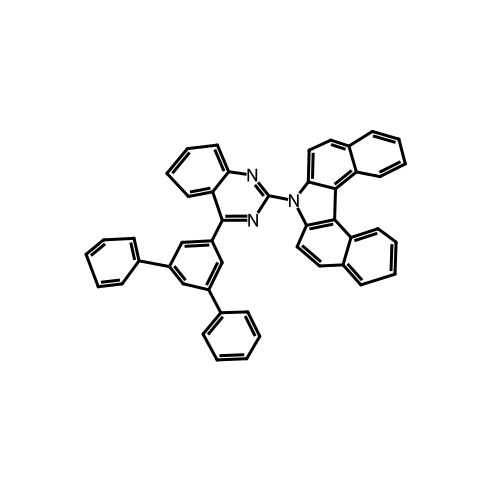 c1ccc(-c2cc(-c3ccccc3)cc(-c3nc(-n4c5ccc6ccccc6c5c5c6ccccc6ccc54)nc4ccccc34)c2)cc1